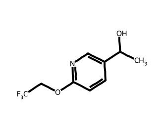 CC(O)c1ccc(OCC(F)(F)F)nc1